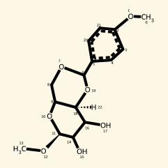 COc1ccc(C2OCC3O[C@H](OC)C(O)C(O)[C@@H]3O2)cc1